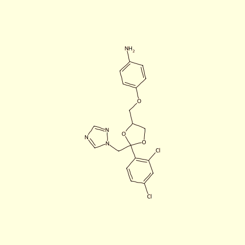 Nc1ccc(OCC2COC(Cn3cncn3)(c3ccc(Cl)cc3Cl)O2)cc1